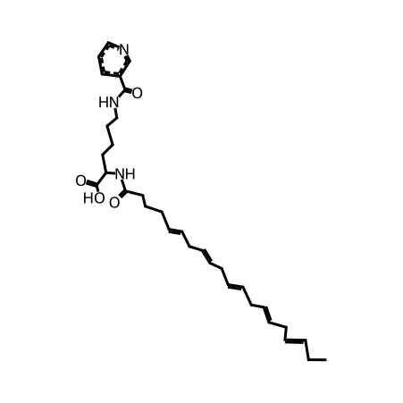 CCC=CCC=CCC=CCC=CCC=CCCCC(=O)NC(CCCCNC(=O)c1cccnc1)C(=O)O